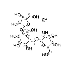 OC[C@H]1O[C@H](OC[C@H]2O[C@H](O[C@]3(CO)O[C@H](CO)[C@@H](O)[C@@H]3O)[C@H](O)[C@@H](O)[C@@H]2O)[C@H](O)[C@@H](O)[C@H]1O.[KH]